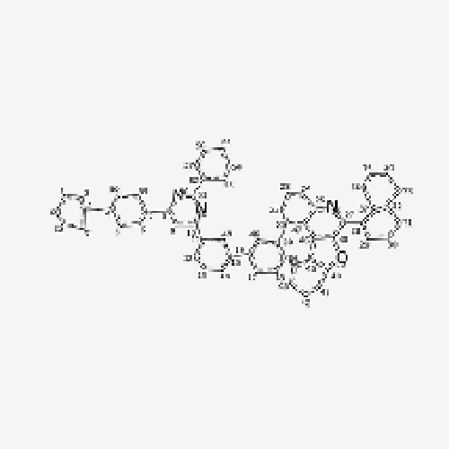 c1ccc(-c2ccc(-c3cc(-c4cccc(-c5cccc(-c6cccc7nc(-c8cccc9ccccc89)c8oc9ccccc9c8c67)c5)c4)nc(-c4ccccc4)n3)cc2)cc1